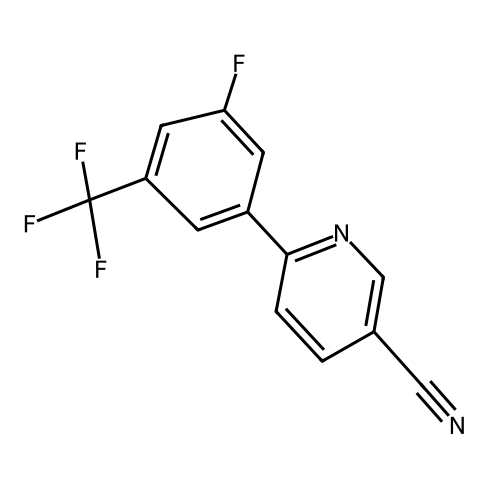 N#Cc1ccc(-c2cc(F)cc(C(F)(F)F)c2)nc1